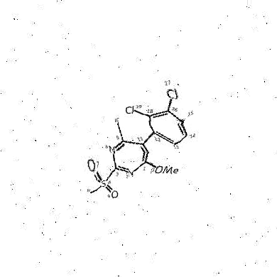 COc1nc(S(C)(=O)=O)nc(C)c1-c1cccc(Cl)c1Cl